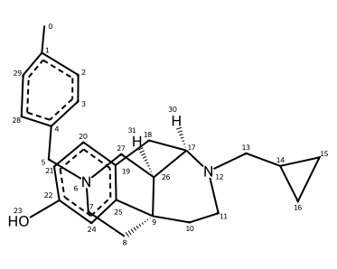 Cc1ccc(CN2CC[C@]34CCN(CC5CC5)[C@H](Cc5ccc(O)cc53)[C@@H]4C2)cc1